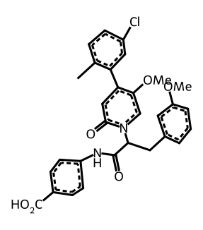 COc1cccc(CC(C(=O)Nc2ccc(C(=O)O)cc2)n2cc(OC)c(-c3cc(Cl)ccc3C)cc2=O)c1